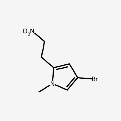 Cn1cc(Br)cc1CC[N+](=O)[O-]